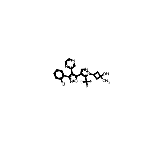 CC1(O)CC(n2ncc(-c3onc(-c4ccccc4Cl)c3-c3cnccn3)c2C(F)(F)F)C1